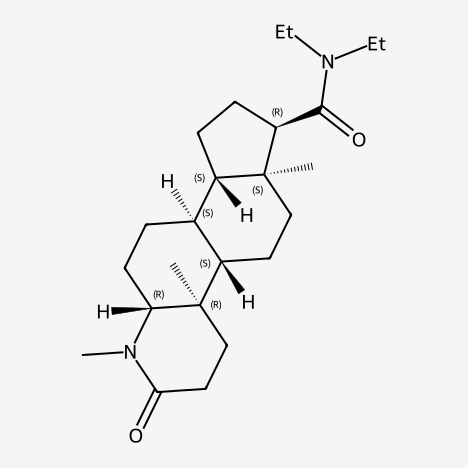 CCN(CC)C(=O)[C@@H]1CC[C@H]2[C@@H]3CC[C@H]4N(C)C(=O)CC[C@]4(C)[C@H]3CC[C@]12C